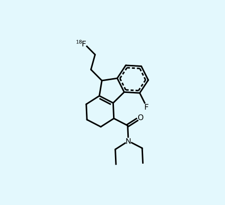 CCN(CC)C(=O)C1CCCC2=C1c1c(F)cccc1C2CC[18F]